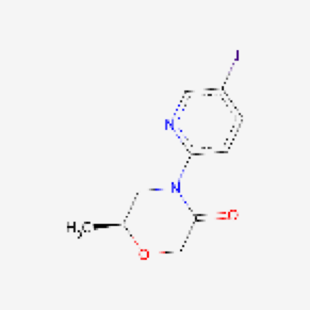 C[C@H]1CN(c2ccc(I)cn2)C(=O)CO1